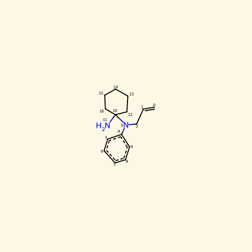 C=CCN(c1ccccc1)C1(N)CCCCC1